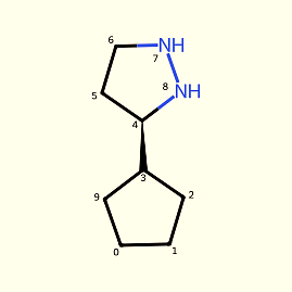 C1CCC([C@H]2CCNN2)C1